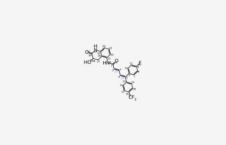 O=C(/C=C/C=C(\c1ccc(F)cc1)c1ccc(C(F)(F)F)cc1)Nc1cccc2c1CC(O)C(=O)N2